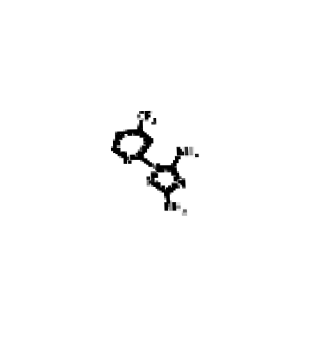 Nc1nc(N)n(-c2cc(C(F)(F)F)ccn2)n1